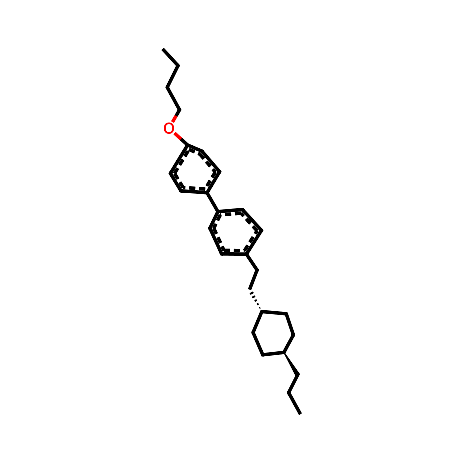 CCCCOc1ccc(-c2ccc(CC[C@H]3CC[C@H](CCC)CC3)cc2)cc1